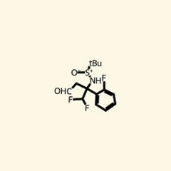 CC(C)(C)[S+]([O-])NC(CC=O)(c1ccccc1F)C(F)F